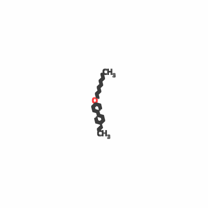 CCCCCCCCCO[C@H]1CC[C@H]([C@H]2CC[C@H](CCC)CC2)CC1